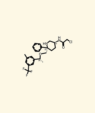 Cc1cc([C@@H](C)OC[C@@]2(c3ccccc3)CC[C@H](NC(=O)CCl)CN2)cc(C(F)(F)F)c1